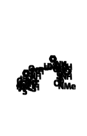 CNC(=O)OC(C)C(=O)N[C@H]1CCS[C@H]2CC(C)(C)[C@@H](C(=O)NC(C(=O)NCC#CC#CCNC(=O)C(NC(=O)[C@H]3N4C(=O)[C@@H](NC(=S)C(C)N(C)C(=O)OC(C)(C)C)CCS[C@H]4CC3(C)C)c3ccccc3)c3ccccc3)N2C1=O